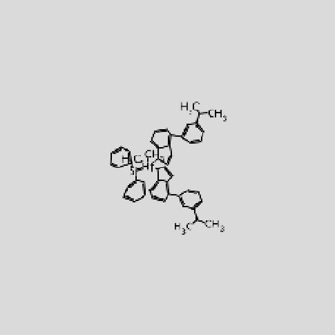 CC(C)c1cccc(-c2cccc3c2C=C[CH]3[Hf]([CH3])([CH3])([CH]2C=Cc3c(-c4cccc(C(C)C)c4)cccc32)=[Si](c2ccccc2)c2ccccc2)c1